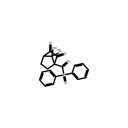 CC1(C)C2CCC1(C(=O)P(=O)(c1ccccc1)c1ccccc1)C(=O)C2=O